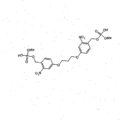 COP(=O)(O)OCc1ccc(OCCCOc2ccc(COP(=O)(O)OC)c([N+](=O)[O-])c2)cc1[N+](=O)[O-]